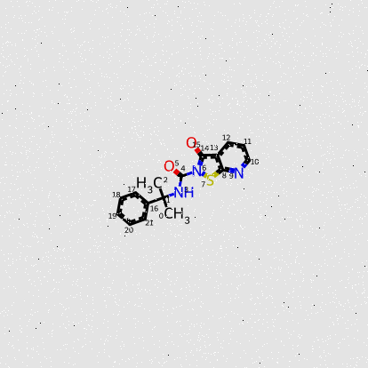 CC(C)(NC(=O)n1sc2ncccc2c1=O)c1ccccc1